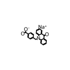 O=C([O-])c1ccc(Cn2c3ccccc3c(=O)c3ccccc32)cc1.[Na+]